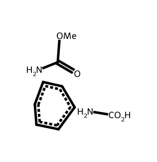 COC(N)=O.NC(=O)O.c1ccccc1